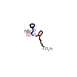 CCCCC(O)(CNCC1C2CCC(O2)C1CCCCCCC(=O)O)Cc1ccccc1